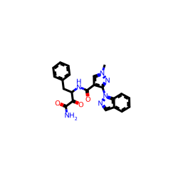 Cn1cc(C(=O)NC(Cc2ccccc2)C(=O)C(N)=O)c(-n2ncc3ccccc32)n1